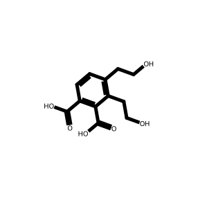 O=C(O)c1ccc(CCO)c(CCO)c1C(=O)O